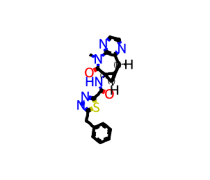 CN1C(=O)[C@]2(NC(=O)c3nnc(Cc4ccccc4)s3)C3[C@@H](c4nccnc41)[C@H]32